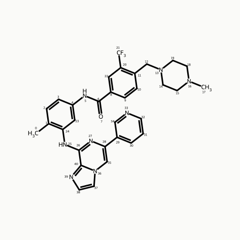 Cc1ccc(NC(=O)c2ccc(CN3CCN(C)CC3)c(C(F)(F)F)c2)cc1Nc1nc(-c2cccnc2)cn2ccnc12